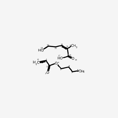 C=CC(=O)OCCCO.CC(=CCCO)C(=O)O